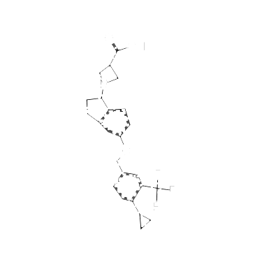 O=C(O)C1CN(C2CCc3cc(OCc4ccc(C5CC5)c(C(F)(F)F)c4)ccc32)C1